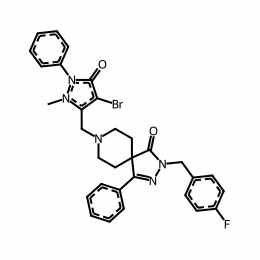 Cn1c(CN2CCC3(CC2)C(=O)N(Cc2ccc(F)cc2)N=C3c2ccccc2)c(Br)c(=O)n1-c1ccccc1